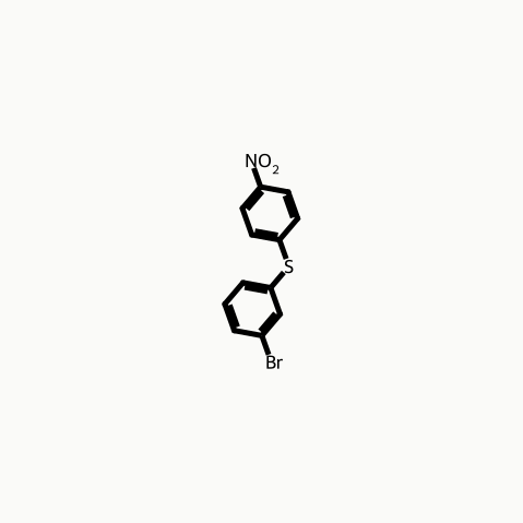 O=[N+]([O-])c1ccc(Sc2cccc(Br)c2)cc1